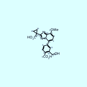 COc1ccc(-c2ccc(C(=O)O)c(CO)c2)n2nc(C3(C(=O)O)CC3)nc12